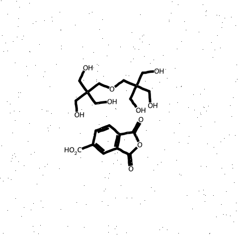 O=C(O)c1ccc2c(c1)C(=O)OC2=O.OCC(CO)(CO)COCC(CO)(CO)CO